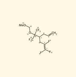 C=CCC(CC(F)=C(F)F)C(OCOC)(C(F)(F)F)C(F)(F)F